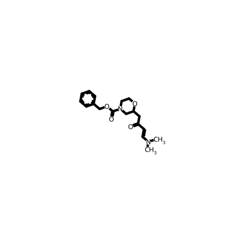 CN(C)/C=C/C(=O)CC1CN(C(=O)OCc2ccccc2)CCO1